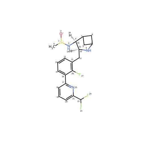 C[S+]([O-])N[C@H]1C2CC(C2)N[C@H]1Cc1cccc(-c2cccc(C(F)F)n2)c1F